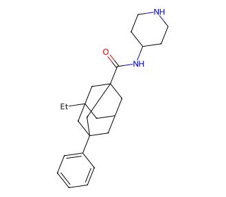 CCC12CC3CC(C(=O)NC4CCNCC4)(C1)CC(c1ccccc1)(C3)C2